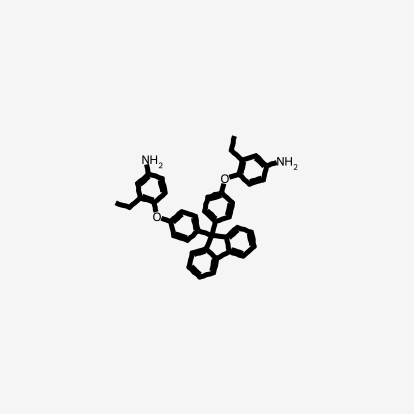 CCc1cc(N)ccc1Oc1ccc(C2(c3ccc(Oc4ccc(N)cc4CC)cc3)c3ccccc3-c3ccccc32)cc1